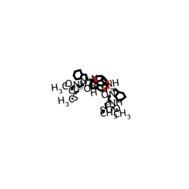 COC(=O)N[C@@H](CCSC)C(=O)N1C2CCCCC2C[C@H]1c1nc(-c2cc3ccc2CCc2ccc(c(-c4c[nH]c([C@@H]5CC6CCCCC6N5C(=O)[C@H](CCSC)NC(=O)OC)n4)c2)CC3)c[nH]1